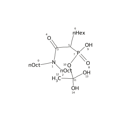 CCCCCCCCN(CCCCCCCC)C(=O)C(CCCCCC)P(=O)(O)OC(C)(O)O